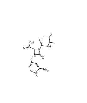 CC(C)C(C)NC(=O)N1C(=O)[C@H](CC2=CCN(C)C(N)=C2)C1C(=O)O